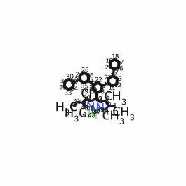 CCC1=C(C)C2=C(c3cc(-c4cccc(-c5ccccc5)c4)cc(-c4cccc(-c5ccccc5)c4)c3)c3c(C)c(CC)c(C)n3[N+](F)(F)[N+]2=C1C